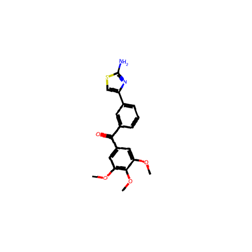 COc1cc(C(=O)c2cccc(-c3csc(N)n3)c2)cc(OC)c1OC